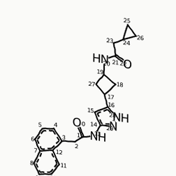 O=C(Cc1cccc2ccccc12)Nc1cc(C2CC(NC(=O)CC3CC3)C2)[nH]n1